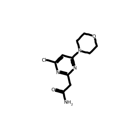 NC(=O)Cc1nc(Cl)cc(N2CCOCC2)n1